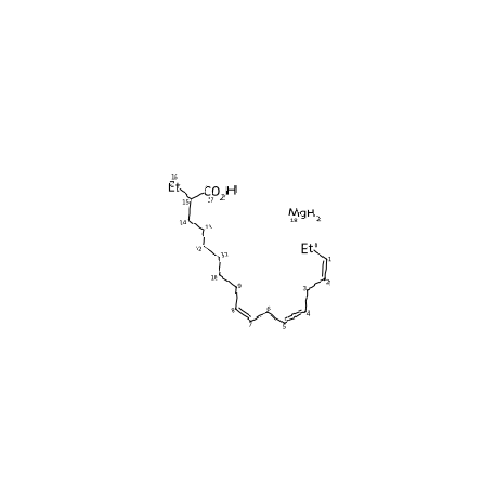 CC/C=C\C/C=C\C/C=C\CCCCCCC(CC)C(=O)O.[MgH2]